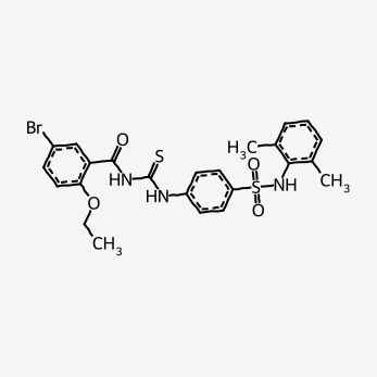 CCOc1ccc(Br)cc1C(=O)NC(=S)Nc1ccc(S(=O)(=O)Nc2c(C)cccc2C)cc1